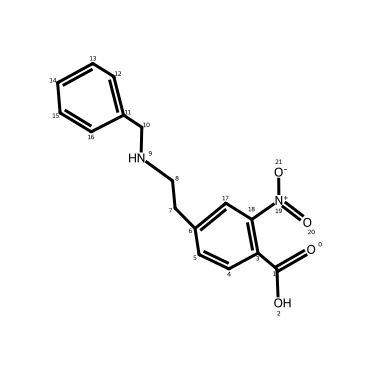 O=C(O)c1ccc(CCNCc2ccccc2)cc1[N+](=O)[O-]